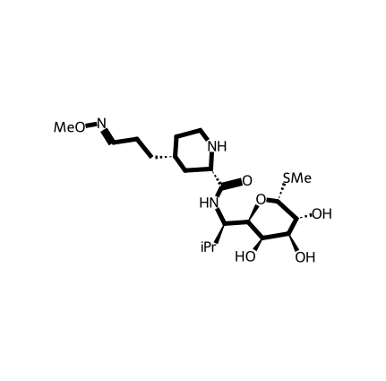 CO/N=C/CC[C@@H]1CCN[C@H](C(=O)N[C@H](C(C)C)[C@H]2O[C@H](SC)[C@H](O)[C@@H](O)[C@H]2O)C1